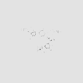 CNC(=O)C[C@H](Cc1ccc(-c2cn(C)c(C(C)(C)O)n2)cc1)NC(=O)c1ccc(O[C@H](C)C(F)(F)F)c(Cl)c1